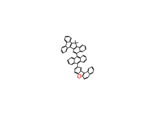 CC1(C)c2c(cc(-c3c4ccccc4c(-c4ccc5oc6ccc7ccccc7c6c5c4)c4ccccc34)c3ccccc23)-c2c1c1ccccc1c1ccccc21